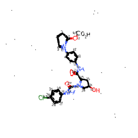 O=C(O)OC1CCCN1c1ccc(NC(=O)C2CC(O)CN2C(=O)Nc2ccc(Cl)cc2)cc1